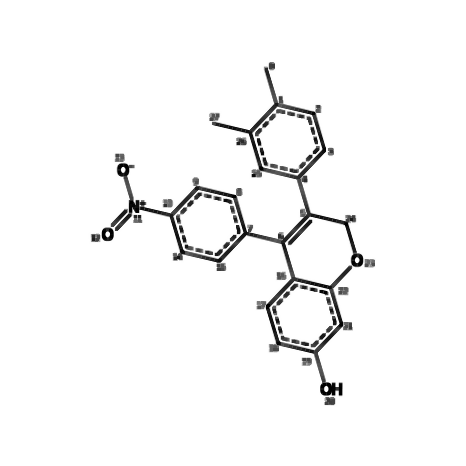 Cc1ccc(C2=C(c3ccc([N+](=O)[O-])cc3)c3ccc(O)cc3OC2)cc1C